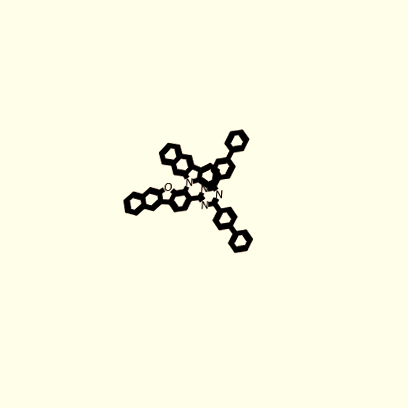 c1ccc(-c2ccc(-c3nc(-c4ccc(-c5ccccc5)cc4)nc(-c4ccc5c(oc6cc7ccccc7cc65)c4-n4c5ccccc5c5cc6ccccc6cc54)n3)cc2)cc1